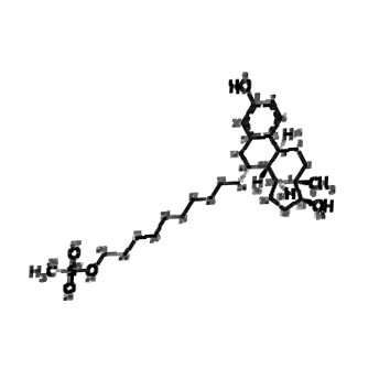 C[C@]12CC[C@@H]3c4ccc(O)cc4C[C@@H](CCCCCCCCCCOS(C)(=O)=O)[C@H]3[C@@H]1CC[C@@H]2O